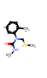 CNC(=O)N(CSC)c1ccccc1C